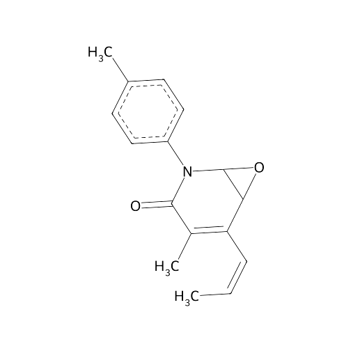 C/C=C\C1=C(C)C(=O)N(c2ccc(C)cc2)C2OC12